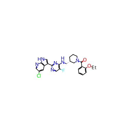 CCOc1ccccc1C(=O)N1CCC[C@@H](CNc2nc(-c3c[nH]c4ncc(Cl)cc34)ncc2F)C1